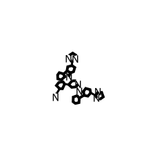 N#Cc1cccc(-c2cc(-n3c4ccccc4c4cc(-c5ncccn5)ccc43)ncc2-n2c3ccccc3c3cc(-c4ncccn4)ccc32)c1